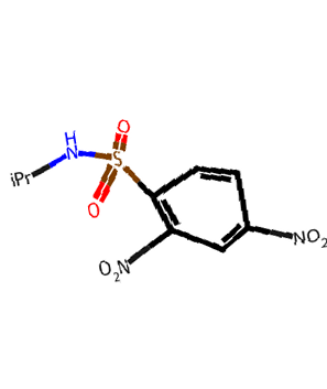 CC(C)NS(=O)(=O)c1ccc([N+](=O)[O-])cc1[N+](=O)[O-]